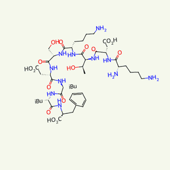 CC[C@H](C)[C@H](NC(=O)[C@H](CC(=O)O)NC(=O)[C@H](CO)NC(=O)[C@H](CCCCN)NC(=O)[C@@H](NC(=O)[C@H](CC(=O)O)NC(=O)[C@@H](N)CCCCN)[C@@H](C)O)C(=O)N[C@H](C(=O)N[C@@H](Cc1ccccc1)C(=O)O)[C@@H](C)CC